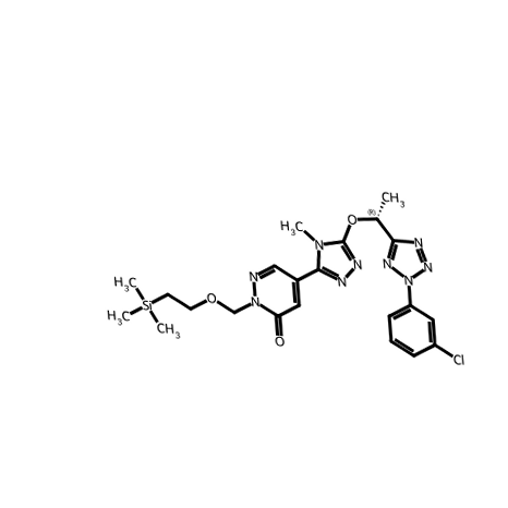 C[C@@H](Oc1nnc(-c2cnn(COCC[Si](C)(C)C)c(=O)c2)n1C)c1nnn(-c2cccc(Cl)c2)n1